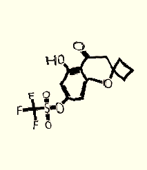 O=C1CC2(CCC2)Oc2cc(OS(=O)(=O)C(F)(F)F)cc(O)c21